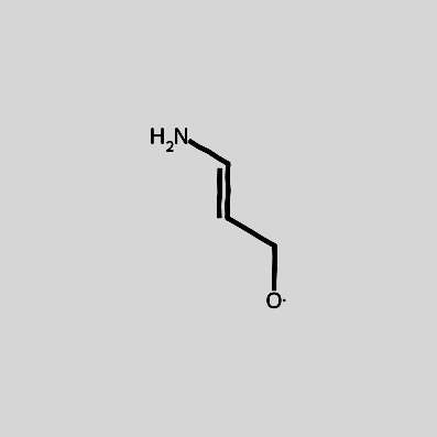 N/C=C/C[O]